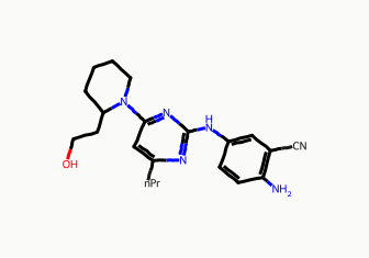 CCCc1cc(N2CCCCC2CCO)nc(Nc2ccc(N)c(C#N)c2)n1